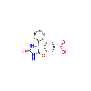 O=C1NC(=O)C(c2ccccc2)(c2ccc(C(=O)O)cc2)N1